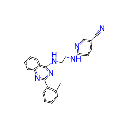 Cc1ccccc1-c1nc(NCCNc2ccc(C#N)cn2)c2ccccc2n1